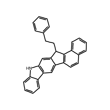 c1ccc(CCC2c3cc4[nH]c5ccccc5c4cc3-c3ccc4ccccc4c32)cc1